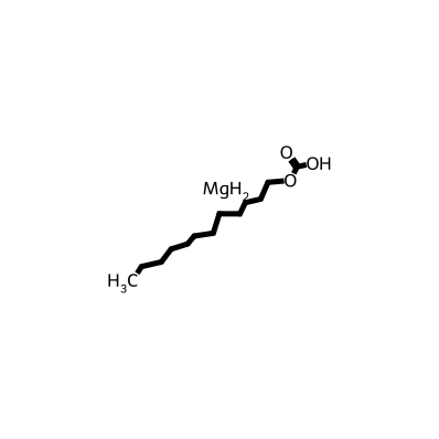 CCCCCCCCCCCCOC(=O)O.[MgH2]